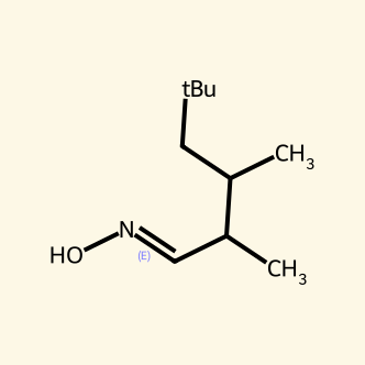 CC(/C=N/O)C(C)CC(C)(C)C